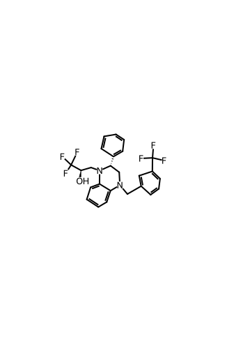 O[C@H](CN1c2ccccc2N(Cc2cccc(C(F)(F)F)c2)C[C@H]1c1ccccc1)C(F)(F)F